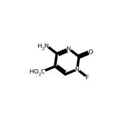 Nc1nc(=O)n(F)cc1C(=O)O